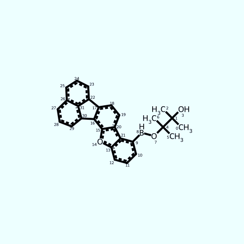 CC(C)(O)C(C)(C)OBc1cccc2oc3c4c(ccc3c12)-c1cccc2cccc-4c12